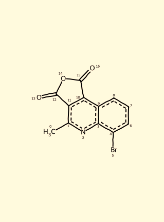 Cc1nc2c(Br)cccc2c2c1C(=O)OC2=O